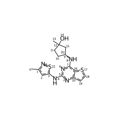 Cc1cc(Nc2nc(N[C@H]3CCC(C)(O)C3)c3sccc3n2)sn1